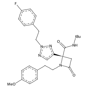 COc1ccc(CCN2C(=O)C[C@]2(C(=O)NC(C)(C)C)c2cnn(CCc3ccc(F)cc3)n2)cc1